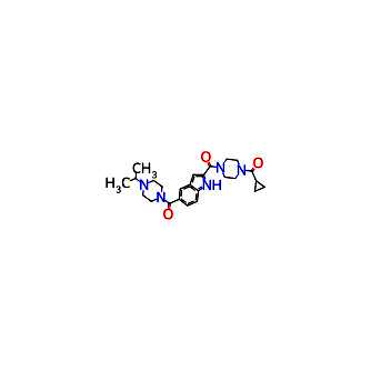 CC(C)N1CCN(C(=O)c2ccc3[nH]c(C(=O)N4CCN(C(=O)C5CC5)CC4)cc3c2)CC1